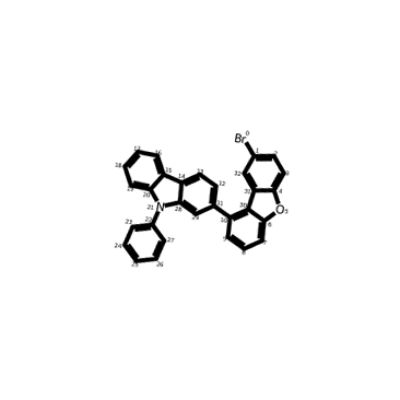 Brc1ccc2oc3cccc(-c4ccc5c6ccccc6n(-c6ccccc6)c5c4)c3c2c1